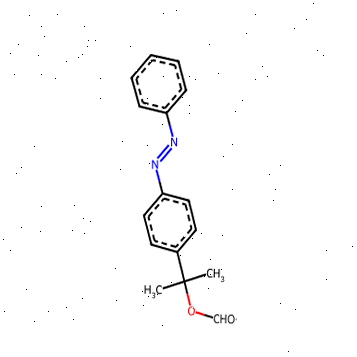 CC(C)(O[C]=O)c1ccc(N=Nc2ccccc2)cc1